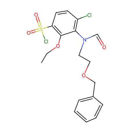 CCOc1c(S(=O)(=O)Cl)ccc(Cl)c1N(C=O)CCOCc1ccccc1